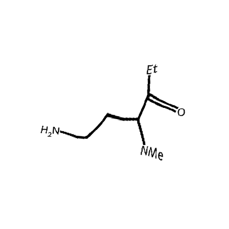 CCC(=O)C(CCN)NC